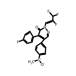 C[S+]([O-])c1ccc(-c2cnn(C=C(F)C(F)F)c(=O)c2-c2ccc(F)cc2)cc1